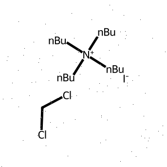 CCCC[N+](CCCC)(CCCC)CCCC.ClCCl.[I-]